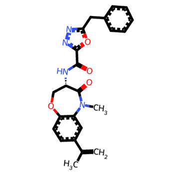 C=C(C)c1ccc2c(c1)N(C)C(=O)[C@@H](NC(=O)c1nnc(Cc3ccccc3)o1)CO2